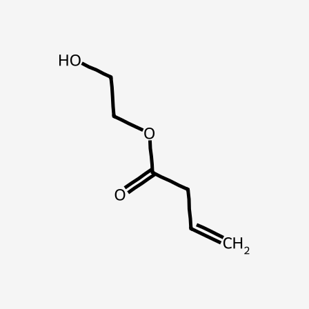 C=CCC(=O)OCCO